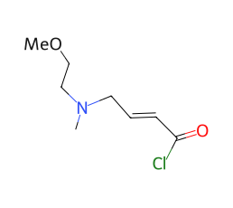 COCCN(C)CC=CC(=O)Cl